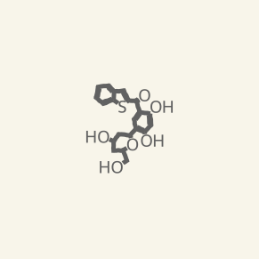 O=C(c1cc2ccccc2s1)c1cc(C2CC(O)CC(CO)O2)c(O)cc1O